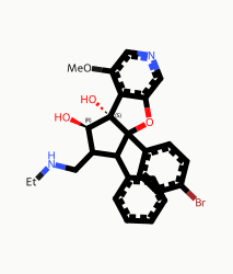 CCNCC1C(c2ccccc2)C2(c3ccc(Br)cc3)Oc3cncc(OC)c3[C@]2(O)[C@@H]1O